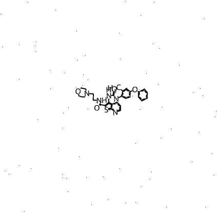 Cc1cc(Oc2ccccc2)ccc1N1C(=O)Nc2c(C(=O)NCCN3CCOCC3)sc3nccc1c23